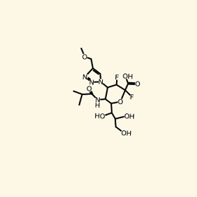 COCc1cn(C2C(NC(=O)C(C)C)C(C(O)C(O)CO)OC(F)(C(=O)O)C2F)nn1